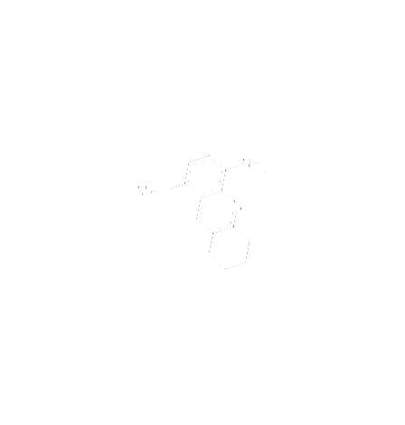 COc1ccc(N)c2nc3c(cc12)CCCC3